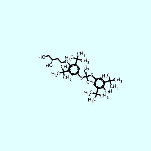 CC(C)(Sc1cc(C(C)(C)C)c(O)c(C(C)(C)C)c1)Sc1cc(C(C)(C)C)c(OCC[C@@H](O)CO)c(C(C)(C)C)c1